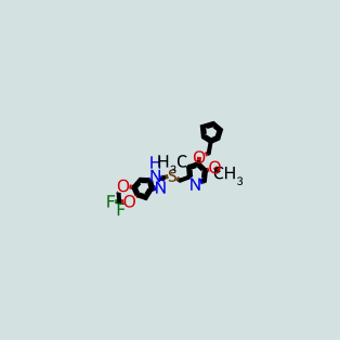 COc1cnc(CSc2nc3cc4c(cc3[nH]2)OCC(F)(F)O4)c(C)c1OCc1ccccc1